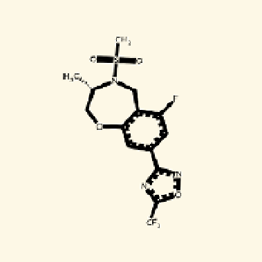 C[C@H]1COc2cc(-c3noc(C(F)(F)F)n3)cc(F)c2CN1S(C)(=O)=O